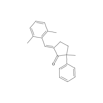 Cc1cccc(C)c1C=C1CCC(C)(c2ccccc2)C1=O